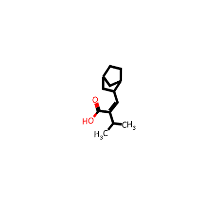 CC(C)C(=CC1CC2CCC1C2)C(=O)O